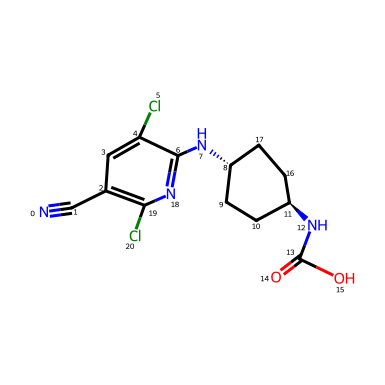 N#Cc1cc(Cl)c(N[C@H]2CC[C@H](NC(=O)O)CC2)nc1Cl